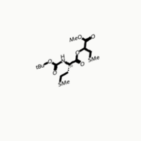 COC(=O)C(CSC)OC(=O)[C@H](CCSC)NC(=O)OC(C)(C)C